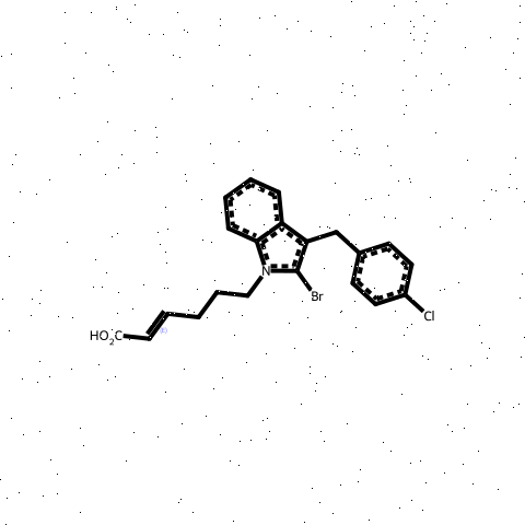 O=C(O)/C=C/CCCn1c(Br)c(Cc2ccc(Cl)cc2)c2ccccc21